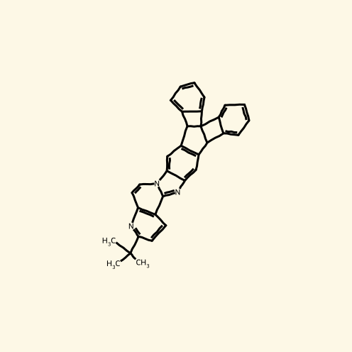 CC(C)(C)c1ccc2c(ccn3c4cc5c(cc4nc23)C2c3ccccc3C23c2ccccc2C53)n1